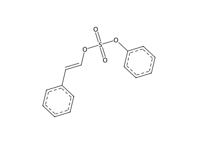 O=S(=O)(OC=Cc1ccccc1)Oc1ccccc1